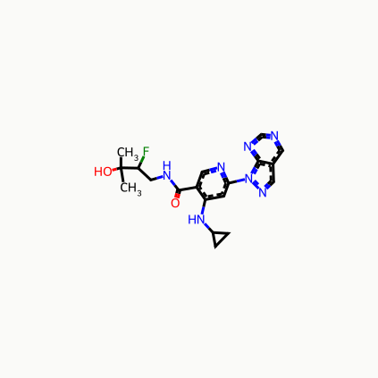 CC(C)(O)C(F)CNC(=O)c1cnc(-n2ncc3cncnc32)cc1NC1CC1